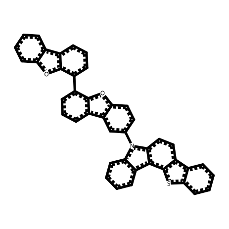 c1ccc2c(c1)oc1c(-c3cccc4c3oc3ccc(-n5c6ccccc6c6c7sc8ccccc8c7ccc65)cc34)cccc12